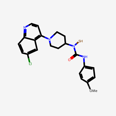 COc1ccc(NC(=O)N(S)C2CCN(c3ccnc4ccc(Cl)cc34)CC2)cc1